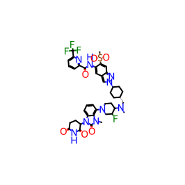 CN(C[C@H]1CC[C@H](n2cc3cc(NC(=O)c4cccc(C(F)(F)F)n4)c(S(C)(=O)=O)cc3n2)CC1)C1CCN(c2cccc3c2n(C)c(=O)n3C2CCC(=O)NC2=O)CC1F